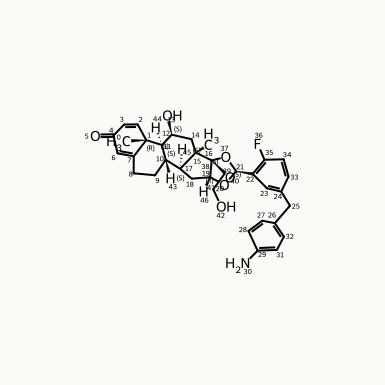 C[C@]12C=CC(=O)C=C1CC[C@@H]1[C@@H]2[C@@H](O)C[C@@]2(C)[C@H]1C[C@H]1O[C@H](c3cc(Cc4ccc(N)cc4)ccc3F)O[C@]12C(=O)CO